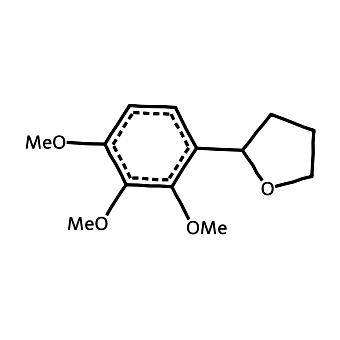 COc1ccc(C2CCCO2)c(OC)c1OC